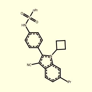 CCCS(=O)(=O)Nc1ccc(-c2c(C#N)c3ccc(C(C)C)cc3n2C2CCC2)cc1